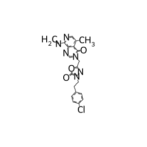 C=Nc1ncc(C)c2c(=O)n(Cc3nn(CCc4ccc(Cl)cc4)c(=O)o3)cnc12